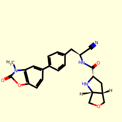 Cn1c(=O)oc2ccc(-c3ccc(C[C@@H](C#N)NC(=O)[C@@H]4C[C@@H]5COC[C@@H]5N4)cc3)cc21